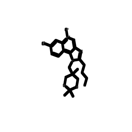 CCCCc1nc2c[n+]([O-])c3cc(Cl)ccc3c2n1CC1(C)COC(C)(C)OC1